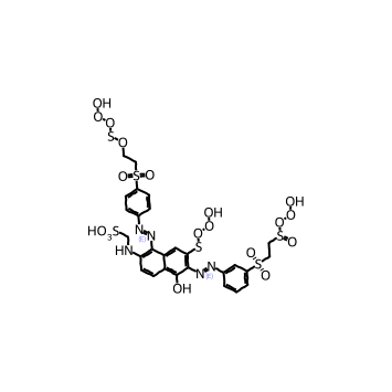 O=S(CCS(=O)(=O)c1cccc(/N=N/c2c(SOOO)cc3c(/N=N/c4ccc(S(=O)(=O)CCOSOOO)cc4)c(NCS(=O)(=O)O)ccc3c2O)c1)OOO